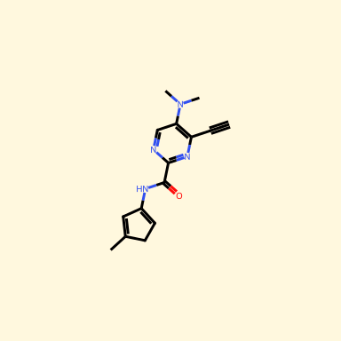 C#Cc1nc(C(=O)NC2=CCC(C)=C2)ncc1N(C)C